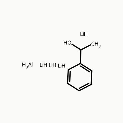 CC(O)c1ccccc1.[AlH3].[LiH].[LiH].[LiH].[LiH]